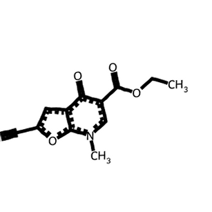 CCOC(=O)c1cn(C)c2oc(C#N)cc2c1=O